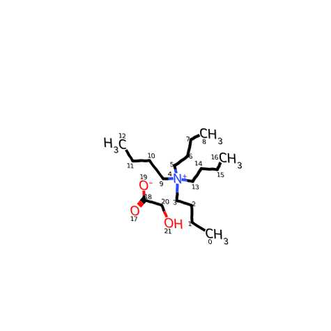 CCCC[N+](CCCC)(CCCC)CCCC.O=C([O-])CO